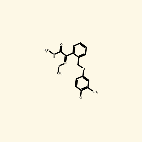 CNC(=O)/C(=N\OC)c1ccccc1COc1ccc(Cl)c(C)c1